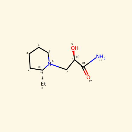 CC[C@@H]1CCCCN1C[C@@H](O)C(N)=O